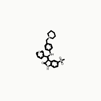 CS(=O)(=O)c1ccc2c(c1)C(=C(Nc1ccc(CN3CCCCC3)cc1)c1ccccc1)C(=O)N2